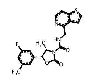 C[C@H]1[C@@H](c2cc(F)cc(C(F)(F)F)c2)OC(=O)N1C(=O)NCc1nccc2sccc12